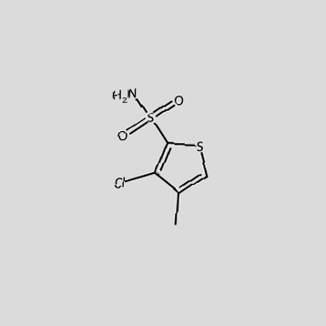 Cc1csc(S(N)(=O)=O)c1Cl